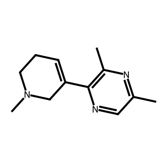 Cc1cnc(C2=CCCN(C)C2)c(C)n1